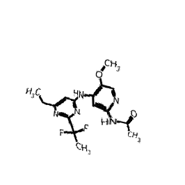 CCc1cc(Nc2cc(NC(C)=O)ncc2OC)nc(C(C)(F)F)n1